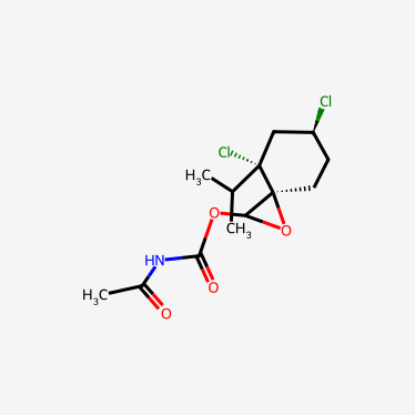 CC(=O)NC(=O)OC1O[C@@]12CC[C@H](Cl)C[C@]2(Cl)C(C)C